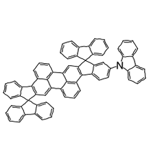 c1ccc2c(c1)-c1ccccc1C21c2ccccc2-c2c1cc1c3cccc4c5c(cc(c6cccc2c61)c43)C1(c2ccccc2-c2ccccc21)c1cc(-n2c3ccccc3c3ccccc32)ccc1-5